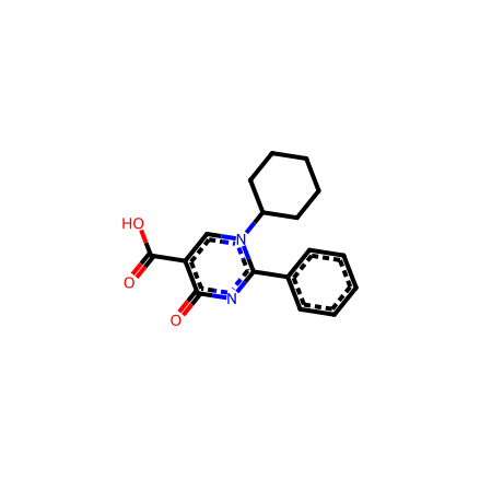 O=C(O)c1cn(C2CCCCC2)c(-c2ccccc2)nc1=O